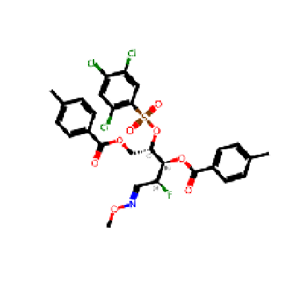 CON=C[C@H](F)[C@H](OC(=O)c1ccc(C)cc1)[C@H](COC(=O)c1ccc(C)cc1)OS(=O)(=O)c1cc(Cl)c(Cl)cc1Cl